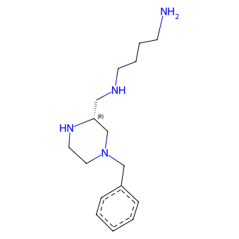 NCCCCNC[C@@H]1CN(Cc2ccccc2)CCN1